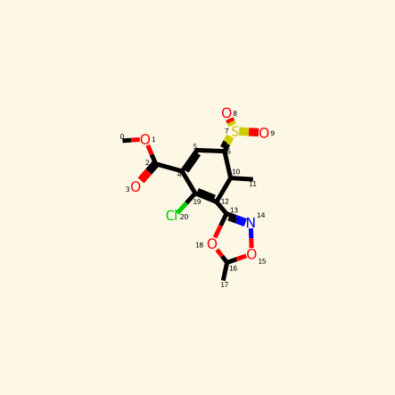 COC(=O)C1=CC(=S(=O)=O)C(C)C(C2=NOC(C)O2)=C1Cl